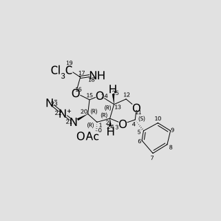 CC(=O)O[C@H]1[C@H]2O[C@@H](c3ccccc3)OC[C@H]2OC(OC(=N)C(Cl)(Cl)Cl)[C@@H]1N=[N+]=[N-]